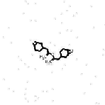 C=C(CC1CCC2OC2C1)OC(=C)CC1CCC2OC2C1